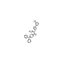 NC(Cc1ccc(-c2cccc(Cl)c2)s1)C(=O)N1CCN(C(c2ccccc2)c2ccccc2)CC1